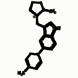 CC1=CCN(c2ccc3[nH]cc(C[C@H]4CCCN4C)c3c2)C=C1